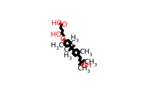 CCC(O)(/C=C/c1ccc(C(CC)(CC)c2ccc(OC[C@@H](O)CCC(=O)O)c(C)c2)cc1C)CC